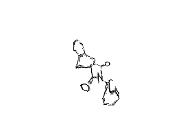 O=C1c2cc3ccccc3cc2C(=O)N1c1ccccc1